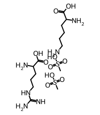 CS(=O)(=O)O.CS(=O)(=O)O.N=C(N)NCCCC(N)C(=O)O.NCCCCC(N)C(=O)O